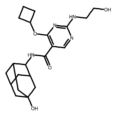 O=C(NC1C2CC3CC1CC(O)(C3)C2)c1cnc(NCCO)nc1OC1CCC1